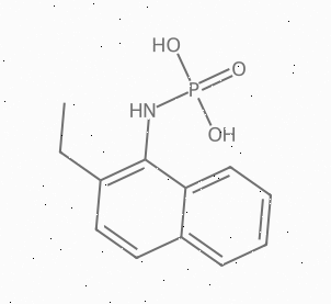 CCc1ccc2ccccc2c1NP(=O)(O)O